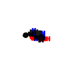 CN[C@H](C(=O)N[C@H](C(=O)N(C)[C@H](C=C(C)C(=O)NO)C(C)C)C(C)(C)C)C(C)(C)c1ccccc1